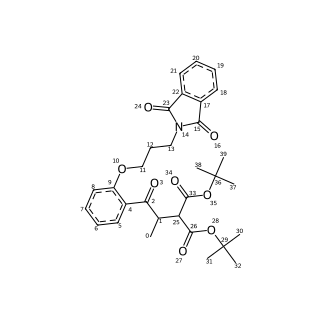 CC(C(=O)c1ccccc1OCCCN1C(=O)c2ccccc2C1=O)C(C(=O)OC(C)(C)C)C(=O)OC(C)(C)C